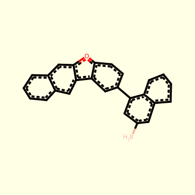 Bc1cc(-c2ccc3oc4cc5ccccc5cc4c3c2)c2ccccc2c1